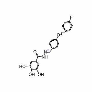 O=C(N/N=C/c1ccc(OCc2ccc(F)cc2)cc1)c1cc(O)c(O)c(O)c1